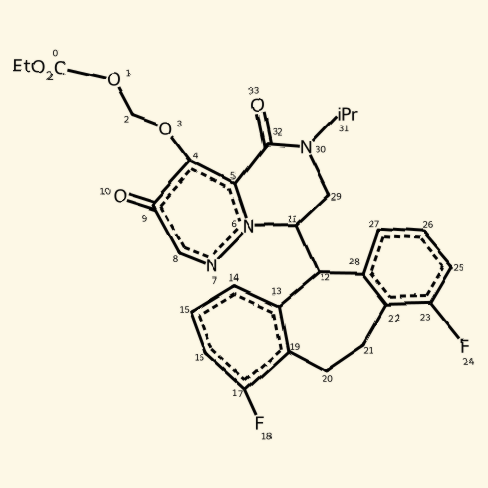 CCOC(=O)OCOc1c2n(ncc1=O)C(C1c3cccc(F)c3CCc3c(F)cccc31)CN(C(C)C)C2=O